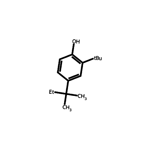 CCC(C)(C)c1ccc(O)c(C(C)(C)C)c1